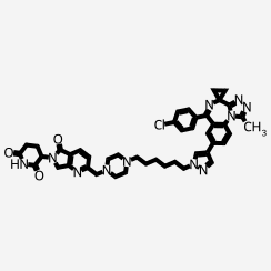 Cc1nnc2n1-c1ccc(-c3cnn(CCCCCCN4CCN(Cc5ccc6c(n5)CN(C5CCC(=O)NC5=O)C6=O)CC4)c3)cc1C(c1ccc(Cl)cc1)=NC21CC1